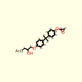 CC(=O)OCC(O)COc1ccc(C(C)(C)c2ccc(OC3CO3)cc2)cc1